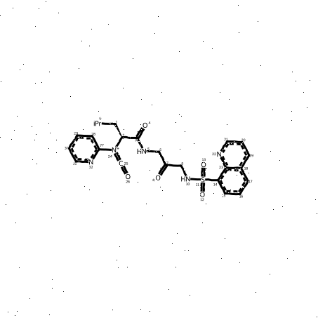 CC(C)C[C@@H](C(=O)NCC(=O)CNS(=O)(=O)c1cccc2cccnc12)[N+](=C=O)c1ccccn1